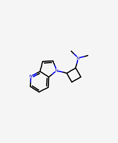 CN(C)C1CCC1n1ccc2ncccc21